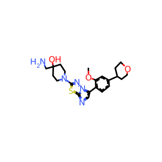 COc1cc(C2CCOCC2)ccc1-c1cnc2sc(N3CCC(O)(CN)CC3)nn12